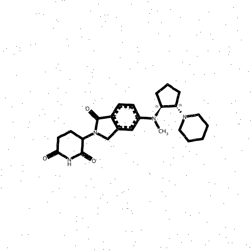 CN(c1ccc2c(c1)CN(C1CCC(=O)NC1=O)C2=O)[C@H]1CCC[C@@H]1N1CCCCC1